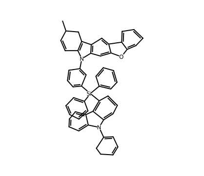 CC1C=Cc2c(c3cc4c(cc3n2-c2cccc([Si](c3ccccc3)(c3ccccc3)c3cccc5c3c3ccccc3n5C3=CC=CCC3)c2)oc2ccccc24)C1